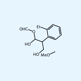 CCc1ccccc1C(CO)C(O)OC=O.COC